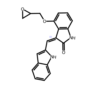 O=C1Nc2cccc(OCC3CO3)c2/C1=C/c1cc2ccccc2[nH]1